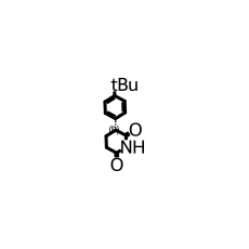 CC(C)(C)c1ccc([C@H]2CCC(=O)NC2=O)cc1